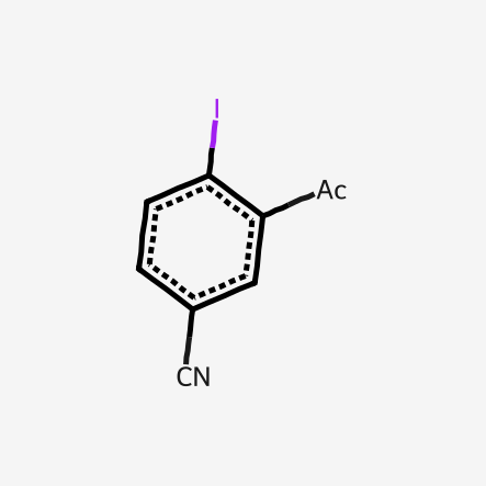 CC(=O)c1cc(C#N)ccc1I